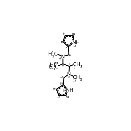 CC(C(C)N(C)Cc1ccc[nH]1)N(C)Cc1ccc[nH]1.[Hf]